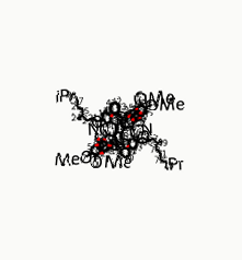 COc1cc2c(cc1OC)SC(/C(C#N)=c1/c3c(-c4cccc(OCCC(C)CCCC(C)C)c4)n(B(c4ccccc4)c4ccccc4)/c(=C(/C#N)c4nc5cc(OC)c(OC)cc5s4)c3c(-c3cccc(OCCC(C)CCCC(C)C)c3)n1B(c1ccccc1)c1ccccc1)N2